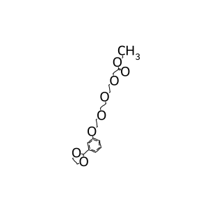 CCOC(=O)COCCOCCOCCOc1cccc(C2OCCO2)c1